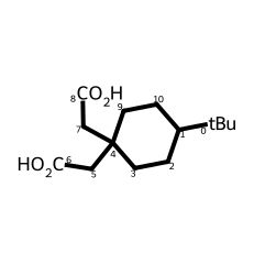 CC(C)(C)C1CCC(CC(=O)O)(CC(=O)O)CC1